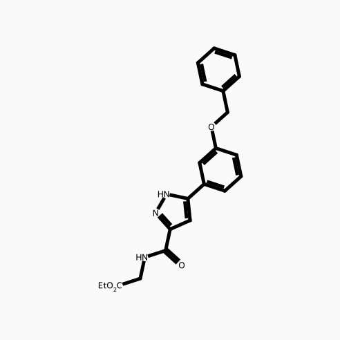 CCOC(=O)CNC(=O)c1cc(-c2cccc(OCc3ccccc3)c2)[nH]n1